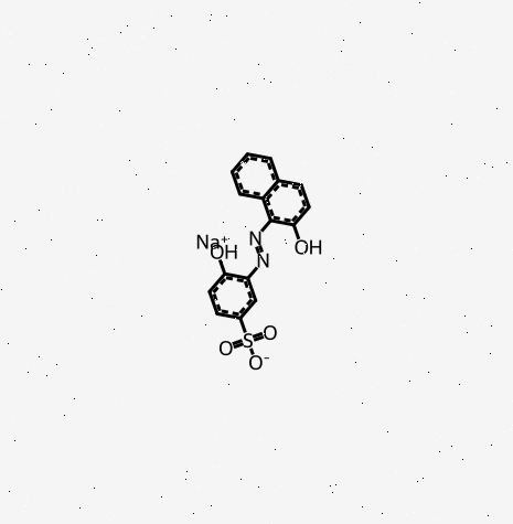 O=S(=O)([O-])c1ccc(O)c(/N=N/c2c(O)ccc3ccccc23)c1.[Na+]